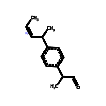 C/C=C\C(C)c1ccc(C(C)C=O)cc1